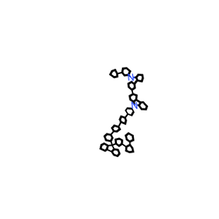 C1=CC(c2ccc(-c3ccc(-c4cccc(C5(c6cccc(-c7ccccc7-c7ccccc7)c6)c6ccccc6-c6ccccc65)c4)cc3)cc2)CC=C1n1c2ccccc2c2cc(-c3ccc4c(c3)c3ccccc3n4-c3cccc(-c4ccccc4)c3)ccc21